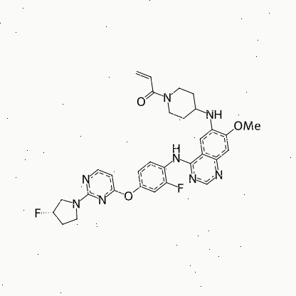 C=CC(=O)N1CCC(Nc2cc3c(Nc4ccc(Oc5ccnc(N6CC[C@H](F)C6)n5)cc4F)ncnc3cc2OC)CC1